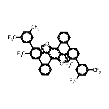 FC(F)(F)c1cc(-c2ccc(-c3ccccc3-c3c4ncoc4c(-c4ccccc4-c4ccc(-c5cc(C(F)(F)F)cc(C(F)(F)F)c5)c(C(F)(F)F)c4)c4ncoc34)cc2C(F)(F)F)cc(C(F)(F)F)c1